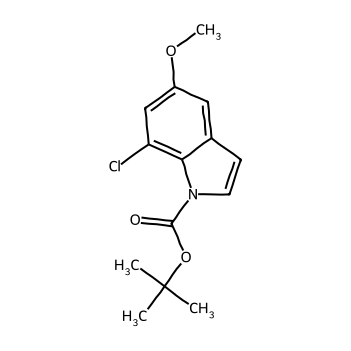 COc1cc(Cl)c2c(ccn2C(=O)OC(C)(C)C)c1